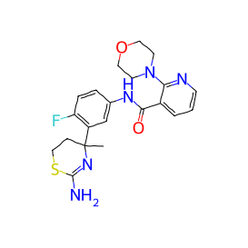 CC1(c2cc(NC(=O)c3cccnc3N3CCOCC3)ccc2F)CCSC(N)=N1